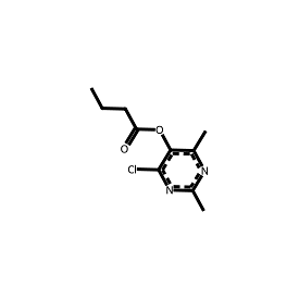 CCCC(=O)Oc1c(C)nc(C)nc1Cl